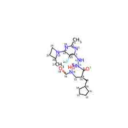 Cc1nc(NNC(=O)[C@@H](CC2CCCC2)CN(O)C=O)c(F)c(N2CCC2C)n1